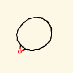 C1CCCCCCCC2OC2CCCCCC1